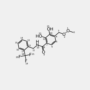 COOCc1ccc(C(=O)NCc2ccccc2C(F)(F)F)c(O)c1O